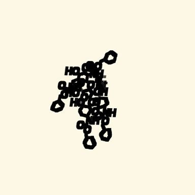 [N-]=[N+]=NC[C@@H]1C=C[C@@H](NC(=O)OCc2ccccc2)[C@@H](O[C@H]2[C@H](O[C@@H]3O[C@H](CO)[C@@H](O[C@H]4O[C@@H](CNC(=O)OCc5ccccc5)[C@@H](O)[C@H](O)[C@H]4NC(=O)OCc4ccccc4)[C@H]3O)[C@@H](O)CC[C@@H]2NC(=O)OCc2ccccc2)O1